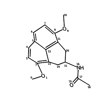 COc1ccc2ccc(OC)c3c2c1CC(NC(C)=O)C3